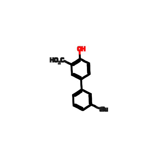 CC(C)(C)c1cccc(-c2ccc(O)c(C(=O)O)c2)c1